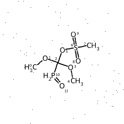 COC(OC)(OS(C)(=O)=O)[PH2]=O